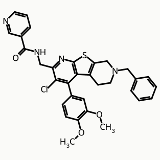 COc1ccc(-c2c(Cl)c(CNC(=O)c3cccnc3)nc3sc4c(c23)CCN(Cc2ccccc2)C4)cc1OC